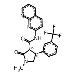 CN1C[C@H](c2cccc(C(F)(F)F)c2)[C@@H](C(=O)Nc2ccc3cccnc3n2)C1=O